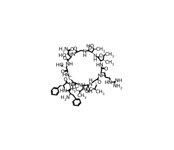 CC[C@H](C)[C@@H]1NC(=O)[C@@H](CCCNC(=N)N)NC(=O)[C@H](CC(C)C)NC(=O)[C@H]([C@H](O)C(C)C)NC(=O)[C@@H](NC(=O)[C@H](Cc2ccccc2)NC(=O)[C@H](N)Cc2ccccc2)CNC(=O)[C@H](CO)NC(=O)[C@H]([C@H](O)C(N)=O)NC(=O)CNC(=O)[C@H]([C@H](C)O)NC1=O